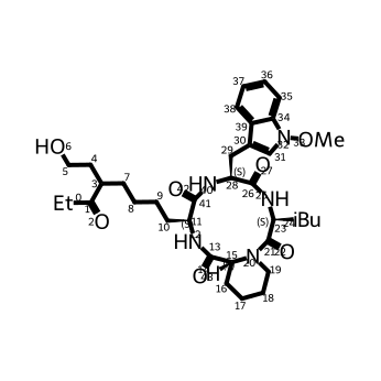 CCC(=O)C(CCO)CCCC[C@@H]1NC(=O)[C@H]2CCCCN2C(=O)[C@H](C(C)CC)NC(=O)[C@H](Cc2cn(OC)c3ccccc23)NC1=O